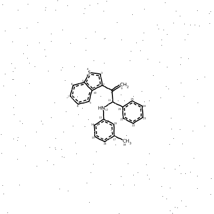 C=C(c1csc2ccccc12)C(Nc1cccc(C)c1)c1ccccc1